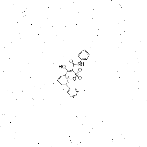 O=C(Nc1ccccc1)C1=C(O)c2cccc(-c3ccccc3)c2OS1(=O)=O